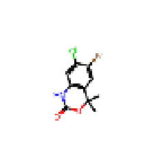 CC1(C)OC(=O)Nc2cc(Cl)c(Br)cc21